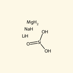 O=[Si](O)O.[LiH].[MgH2].[NaH]